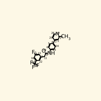 Cc1cc(-c2ccc(NC(=O)Cc3cc(F)cc(C(F)(F)F)c3)cc2)ccn1